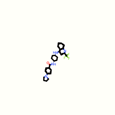 O=C(N[C@H]1CC[C@@H](Nc2cc(C(F)(F)F)nc3ccccc23)CC1)c1ccc(N2CCCC2)cc1